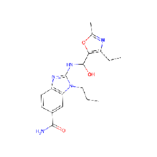 CCCn1c(NC(O)c2oc(C)nc2CC)nc2ccc(C(N)=O)cc21